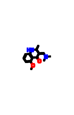 COc1cccc2c1C(=O)C(=CN(C)C)C(C)N2